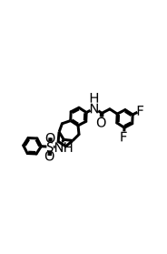 O=C(Cc1cc(F)cc(F)c1)Nc1ccc2c(c1)CC1CCC(C2)C1NS(=O)(=O)c1ccccc1